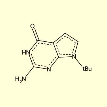 CC(C)(C)n1ccc2c(=O)[nH]c(N)nc21